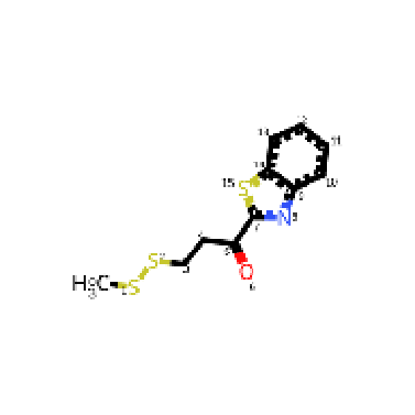 CSSCCC(=O)c1nc2ccccc2s1